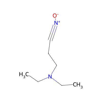 CCN(CC)CCC#[N+][O-]